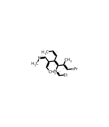 C\C=C/C(=C(/N=C\CC)C(\C)=C\CCC)C(/C=N\C)=C\C